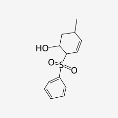 CC1C=CC(S(=O)(=O)c2ccccc2)C(O)C1